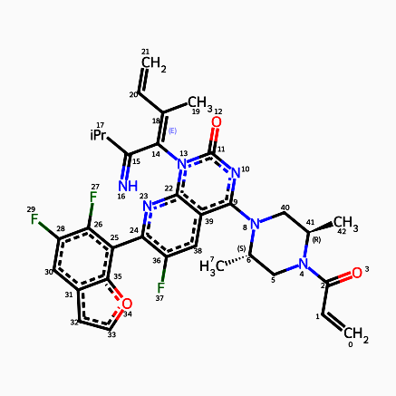 C=CC(=O)N1C[C@H](C)N(c2nc(=O)n(/C(C(=N)C(C)C)=C(\C)C=C)c3nc(-c4c(F)c(F)cc5ccoc45)c(F)cc23)C[C@H]1C